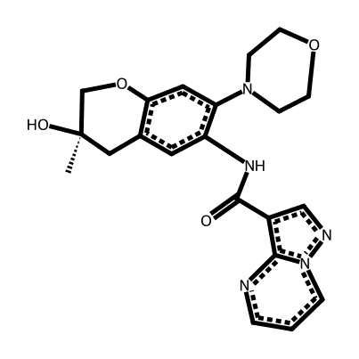 C[C@]1(O)COc2cc(N3CCOCC3)c(NC(=O)c3cnn4cccnc34)cc2C1